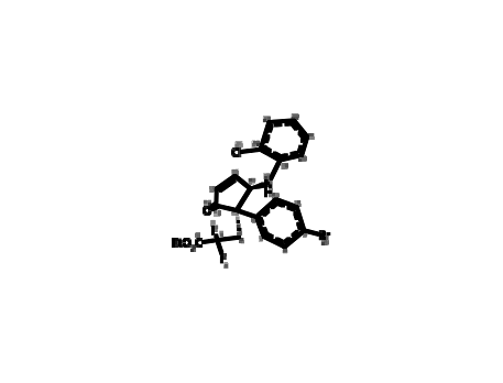 CCOC(=O)C(F)(F)C[C@]1(c2ccc(Br)cc2)C(=O)C=C[C@H]1Nc1ccccc1Cl